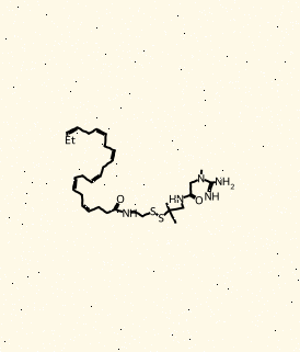 CC/C=C\C/C=C\C/C=C\C/C=C\C/C=C\C/C=C\CCC(=O)NCCSSC(C)(C)CNC(=O)CN(C)C(=N)N